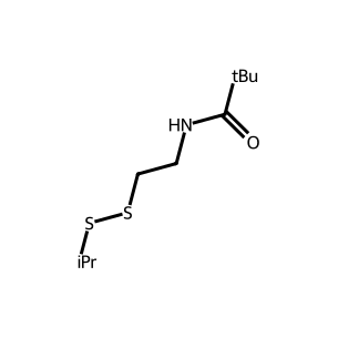 CC(C)SSCCNC(=O)C(C)(C)C